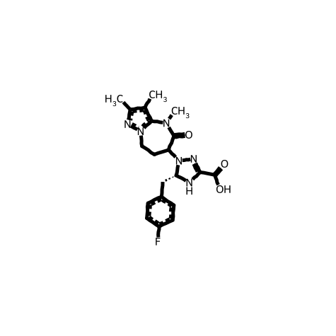 Cc1nn2c(c1C)N(C)C(=O)C(N1N=C(C(=O)O)N[C@@H]1Cc1ccc(F)cc1)CC2